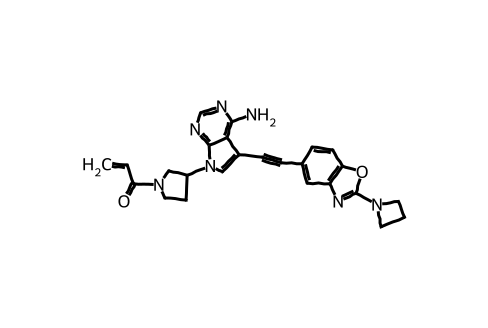 C=CC(=O)N1CCC(n2cc(C#Cc3ccc4oc(N5CCC5)nc4c3)c3c(N)ncnc32)C1